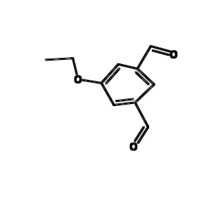 CCOc1cc(C=O)cc(C=O)c1